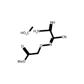 CC(=O)O.COC(=O)CON=C(C#N)C(=N)N